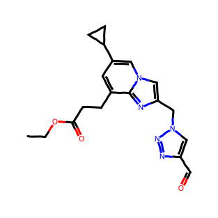 CCOC(=O)CCc1cc(C2CC2)cn2cc(Cn3cc(C=O)nn3)nc12